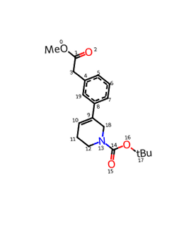 COC(=O)Cc1cccc(C2=CCCN(C(=O)OC(C)(C)C)C2)c1